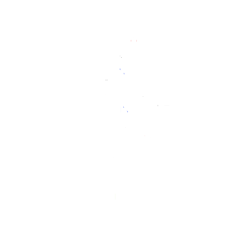 C[C@@H](CN1C(=O)c2ccccc2C1=O)NC(=O)CCc1ccccc1F